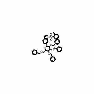 Cc1ccccc1S(=O)(=O)n1ccc2ccc([C@@H]3O[C@H](COCc4ccccc4)[C@@H](OCc4ccccc4)[C@H](OCc4ccccc4)[C@H]3OCc3ccccc3)cc21